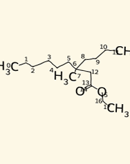 CCCCCCC(C)(CCCC)CC(=O)OCC